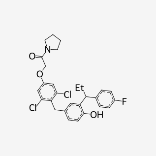 CCC(c1ccc(F)cc1)c1cc(Cc2c(Cl)cc(OCC(=O)N3CCCC3)cc2Cl)ccc1O